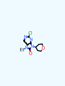 CCn1c(=O)n(C2CCOCC2)c2nc(Cl)ncc21